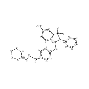 CC1(C)c2cc(O)ccc2N(Cc2ccc(OCCN3CCCCC3)cc2)C1c1ccccc1